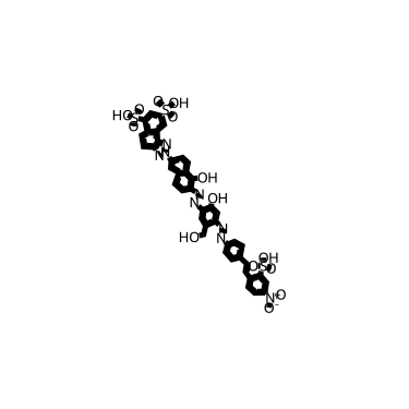 O=[N+]([O-])c1ccc(C=Cc2ccc(N=Nc3cc(O)c(N=Nc4ccc5cc(-n6nc7ccc8c(S(=O)(=O)O)cc(S(=O)(=O)O)cc8c7n6)ccc5c4O)cc3CO)cc2)c(S(=O)(=O)O)c1